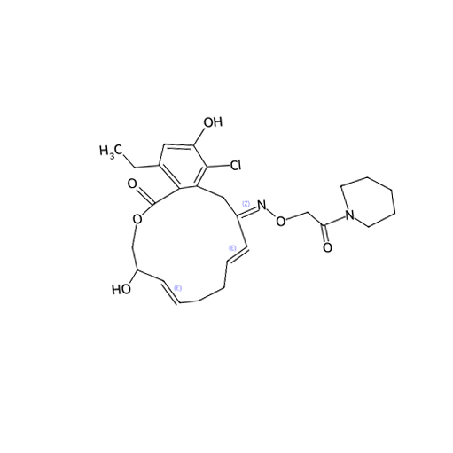 CCc1cc(O)c(Cl)c2c1C(=O)OCC(O)/C=C/CC/C=C/C(=N\OCC(=O)N1CCCCC1)C2